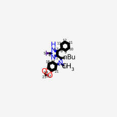 CCCCC(c1nc(I)[nH]c1-c1ccccc1)N(C)c1ccc2c(c1)OCO2